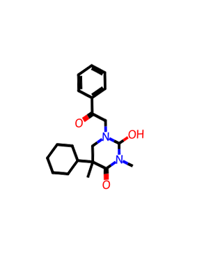 CN1C(=O)C(C)(C2CCCCC2)CN(CC(=O)c2ccccc2)C1O